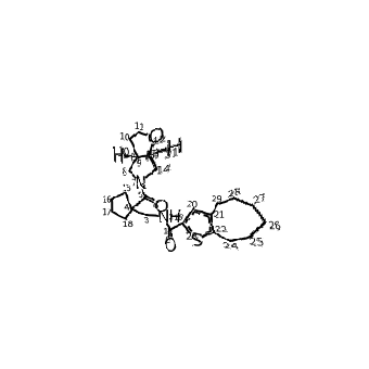 O=C(NCC1(C(=O)N2C[C@@H]3CCO[C@@H]3C2)CCCC1)c1cc2c(s1)CCCCCC2